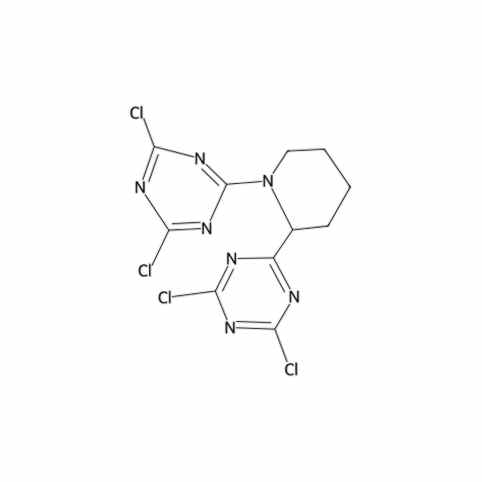 Clc1nc(Cl)nc(C2CCCCN2c2nc(Cl)nc(Cl)n2)n1